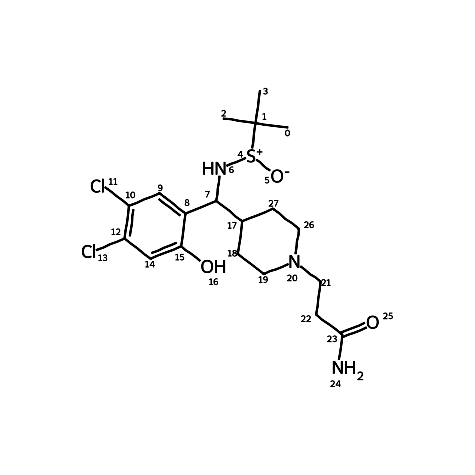 CC(C)(C)[S+]([O-])NC(c1cc(Cl)c(Cl)cc1O)C1CCN(CCC(N)=O)CC1